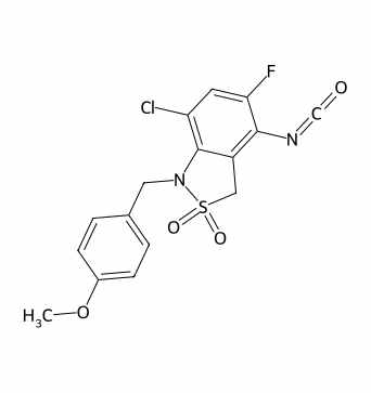 COc1ccc(CN2c3c(Cl)cc(F)c(N=C=O)c3CS2(=O)=O)cc1